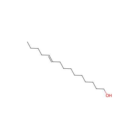 CCCC/C=C/CCCCCCCCCO